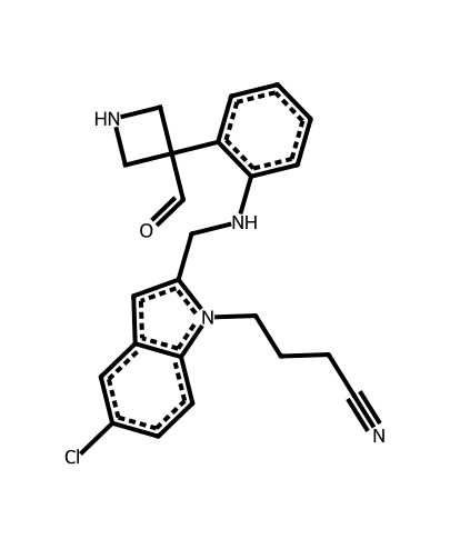 N#CCCCn1c(CNc2ccccc2C2(C=O)CNC2)cc2cc(Cl)ccc21